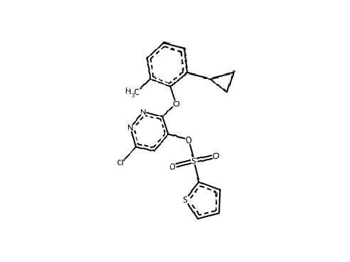 Cc1cccc(C2CC2)c1Oc1nnc(Cl)cc1OS(=O)(=O)c1cccs1